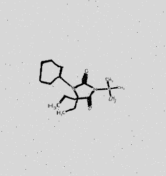 CCC1(CC)C(=O)N([Si](C)(C)C)C(=O)N1C1CCCCC1